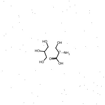 N[C@@H](CO)C(=O)O.OCC(O)CO